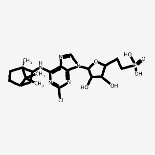 CC1(C)C2CC[C@@]1(C)C(Nc1nc(Cl)nc3c1ncn3C1OC(CCP(=O)(O)O)C(O)C1O)C2